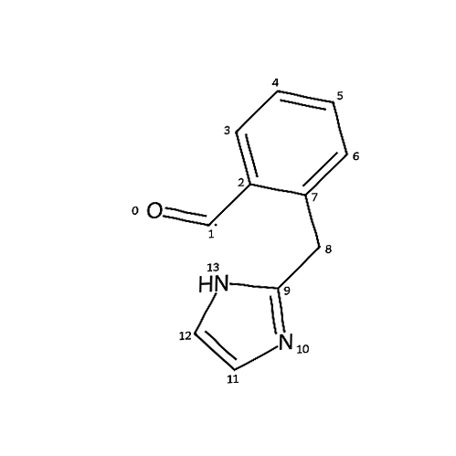 O=[C]c1ccccc1Cc1ncc[nH]1